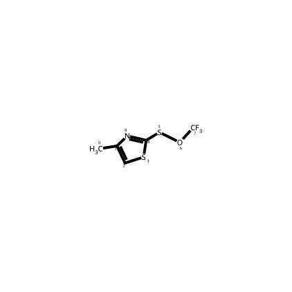 Cc1csc(SOC(F)(F)F)n1